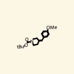 COc1ccc(C=C2CCN(C(=O)OC(C)(C)C)CC2)cc1